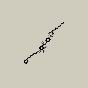 CCCCCCCCC[C@H]1CO[C@H](c2ccc(OC(=O)c3ccc(OCCCCCCCC4CCCC4)c(F)c3F)cc2)OC1